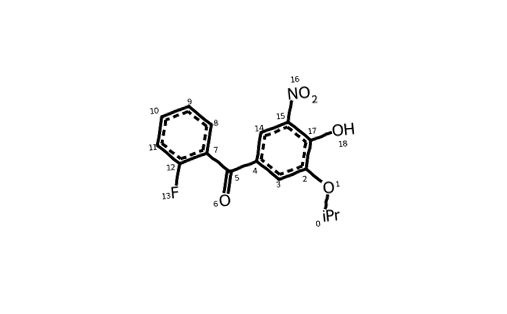 CC(C)Oc1cc(C(=O)c2ccccc2F)cc([N+](=O)[O-])c1O